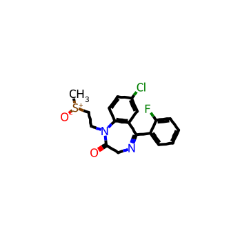 C[S+]([O-])CCN1C(=O)CN=C(c2ccccc2F)c2cc(Cl)ccc21